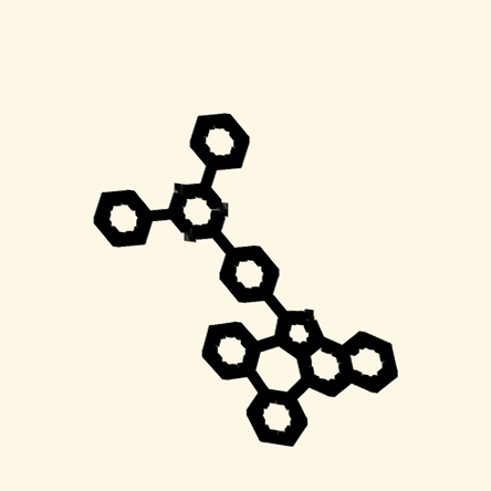 c1ccc(-c2nc(-c3ccccc3)nc(-c3ccc(-c4sc5c6c(cc7ccccc75)-c5ccccc5-c5ccccc5-c46)cc3)n2)cc1